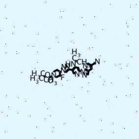 CC(C)Nc1cc(-n2ncc3cc(C#N)cnc32)ncc1-c1cn(C2CCN(C(=O)OC(C)(C)C)CC2F)nn1